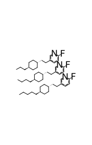 CCCCC[C@H]1CC[C@H](CCc2ccc(F)nc2)CC1.CCCC[C@H]1CC[C@H](CCc2ccc(F)nc2)CC1.CCC[C@H]1CC[C@H](CCc2ccc(F)nc2)CC1